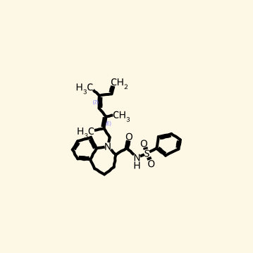 C=C/C(C)=C\C(C)=C(/C)CN1c2ccccc2CCCC1C(=O)NS(=O)(=O)c1ccccc1